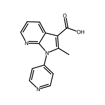 Cc1c(C(=O)O)c2cccnc2n1-c1ccncc1